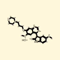 COc1cc2c(C3C(=O)Nc4ccc(SC)cc43)ncnc2cc1OCCCN1CCOCC1.Cl